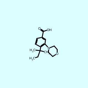 CCC(C)(C)c1ccc(C(=O)O)cc1N1CCOCC1